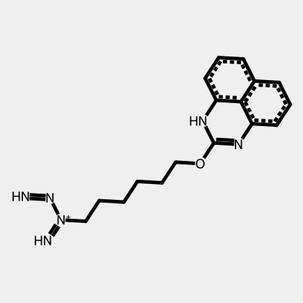 N=N[N+](=N)CCCCCCOC1=Nc2cccc3cccc(c23)N1